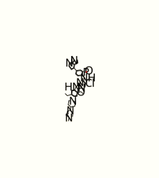 CCc1cc(Nc2ncc(Cl)c(Nc3ccc(-c4ccnc5c4ccn5C)cc3P(C)(C)=O)n2)c(OC)cc1N1CCC(N2CCN(C)CC2)CC1